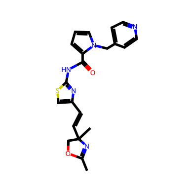 CC1=NC(C)(/C=C/c2csc(NC(=O)c3cccn3Cc3ccncc3)n2)CO1